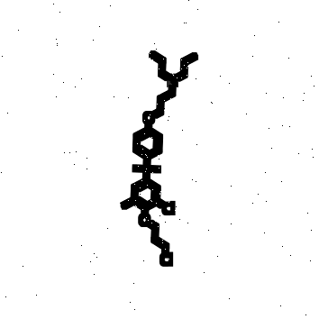 CCCN(CCC)CCCOc1ccc(C(C)(C)c2cc(C)c(OCCCCl)c(Cl)c2)cc1